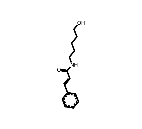 O=C(C=Cc1ccccc1)NCCCCCO